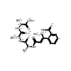 CC[C@H](C)[C@H](NC(=O)/C=C1/c2ccccc2C(=O)N[C@H]1[C@@H](C)CC)C(=O)N[C@H](C(=O)N[C@H](C(=O)OC)[C@@H](C)CC)[C@@H](C)CC